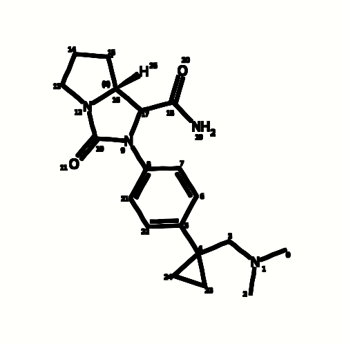 CN(C)CC1(c2ccc(N3C(=O)N4CC[CH][C@@H]4C3C(N)=O)cc2)CC1